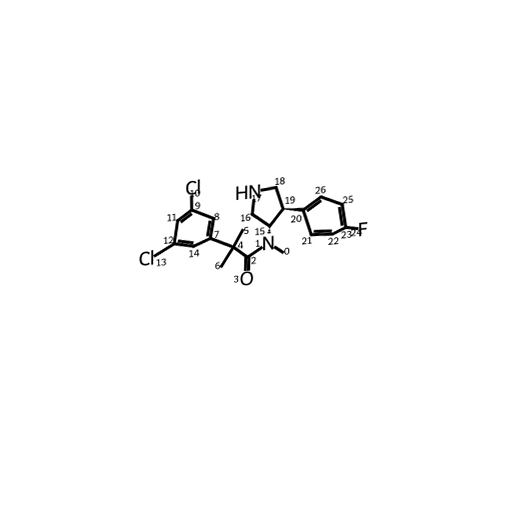 CN(C(=O)C(C)(C)c1cc(Cl)cc(Cl)c1)[C@@H]1CNC[C@H]1c1ccc(F)cc1